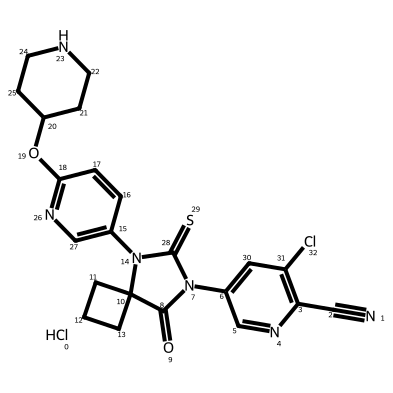 Cl.N#Cc1ncc(N2C(=O)C3(CCC3)N(c3ccc(OC4CCNCC4)nc3)C2=S)cc1Cl